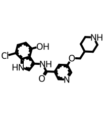 O=C(Nc1c[nH]c2c(Cl)ccc(O)c12)c1cncc(OCC2CCNCC2)c1